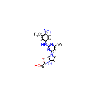 CCCc1cc(N2CCC(NC(=O)CO)C2)nc(Nc2ccc(N)c(C(F)(F)F)c2)n1